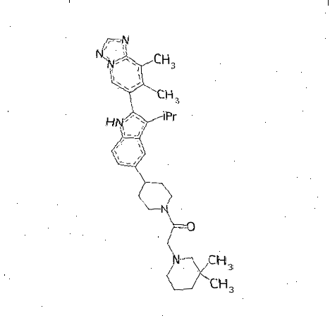 Cc1c(-c2[nH]c3ccc(C4CCN(C(=O)CN5CCCC(C)(C)C5)CC4)cc3c2C(C)C)cn2ncnc2c1C